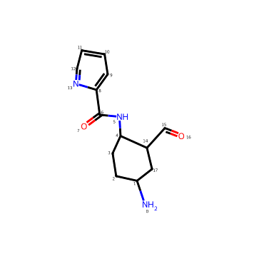 NC1CCC(NC(=O)c2ccccn2)C(C=O)C1